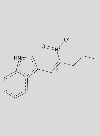 CCC/C(=C/c1c[nH]c2ccccc12)[N+](=O)[O-]